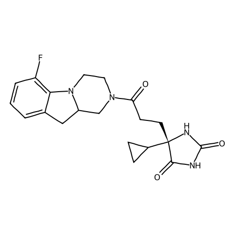 O=C1NC(=O)[C@](CCC(=O)N2CCN3c4c(F)cccc4CC3C2)(C2CC2)N1